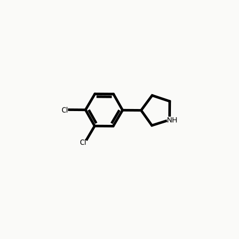 Clc1ccc([C]2CCNC2)cc1Cl